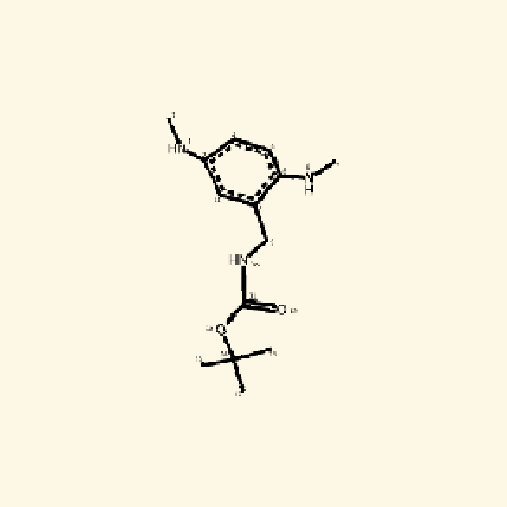 CNc1ccc(NC)c(CNC(=O)OC(C)(C)C)c1